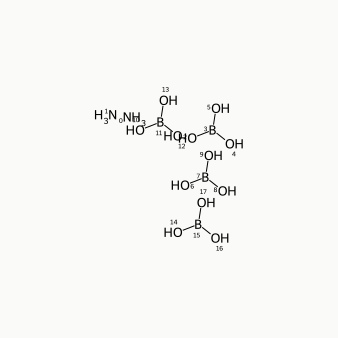 N.N.OB(O)O.OB(O)O.OB(O)O.OB(O)O